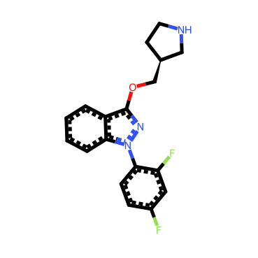 Fc1ccc(-n2nc(OC[C@H]3CCNC3)c3ccccc32)c(F)c1